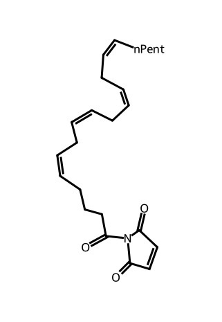 CCCCC/C=C\C/C=C\C/C=C\C/C=C\CCCC(=O)N1C(=O)C=CC1=O